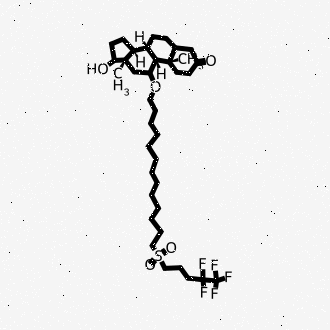 C[C@]12CCC(=O)CC1CC[C@@H]1[C@H]2C(OCCCCCCCCCCCCCS(=O)(=O)CCCC(F)(F)C(F)(F)F)C[C@]2(C)C(O)CC[C@@H]12